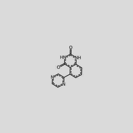 O=c1[nH]c(=O)c2c(-c3cnccn3)cccc2[nH]1